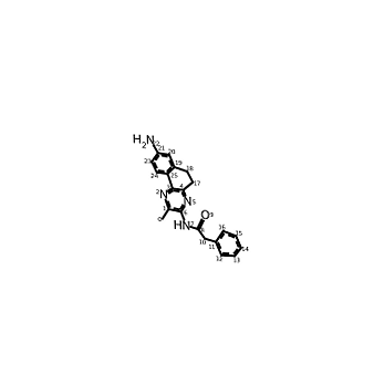 Cc1nc2c(nc1NC(=O)Cc1ccccc1)CCc1cc(N)ccc1-2